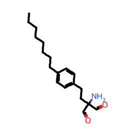 CCCCCCCCc1ccc(CCC(N)(C=O)C=O)cc1